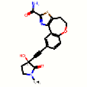 CN1CC[C@](O)(C#Cc2ccc3c(c2)-c2nc(C(N)=O)sc2CCO3)C1=O